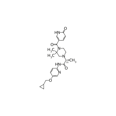 C[C@@H](C(=O)Nc1ccc(OCC2CC2)cn1)N1CCN(C(=O)c2ccc(=O)[nH]c2)C(C)(C)C1